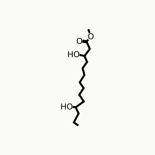 CCCC(O)CCCCCCCC(O)CC(=O)OC